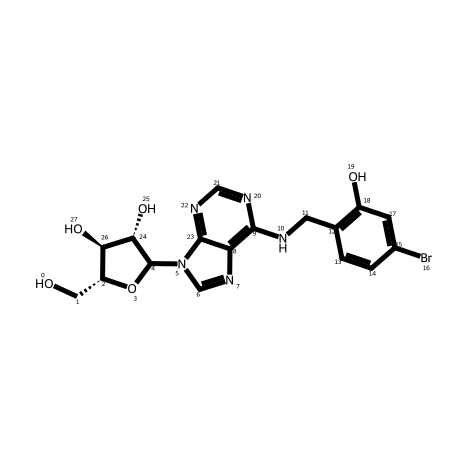 OC[C@H]1OC(n2cnc3c(NCc4ccc(Br)cc4O)ncnc32)[C@@H](O)[C@@H]1O